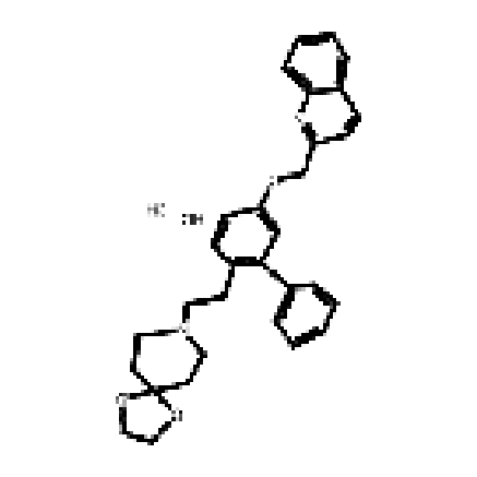 Cl.Cl.c1ccc(-c2cc(OCc3ccc4ccccc4n3)ccc2CCN2CCC3(CC2)OCCO3)cc1